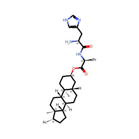 CC(=O)[C@H]1CC[C@H]2[C@@H]3CC[C@H]4C[C@H](OC(=O)[C@@H](NC(=O)[C@@H](N)Cc5c[nH]cn5)C(C)C)CC[C@]4(C)[C@H]3CC[C@]12C